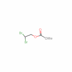 COC(=O)OCC(Br)Br